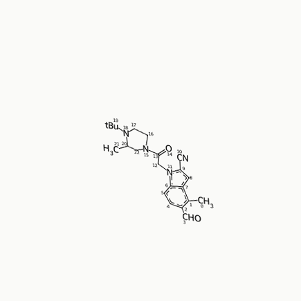 Cc1c(C=O)ccc2c1cc(C#N)n2CC(=O)N1CCN(C(C)(C)C)C(C)C1